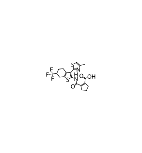 Cc1csc(-c2c(NC(=O)C3=C(C(=O)O)CCC3)sc3c2CCC(C(F)(F)F)C3)n1